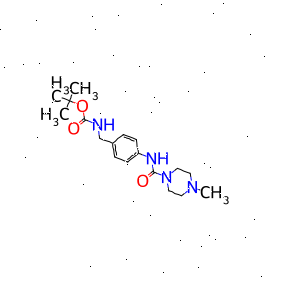 CN1CCN(C(=O)Nc2ccc(CNC(=O)OC(C)(C)C)cc2)CC1